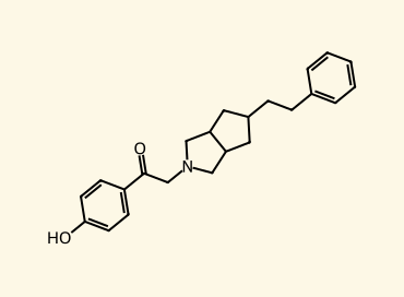 O=C(CN1CC2CC(CCc3ccccc3)CC2C1)c1ccc(O)cc1